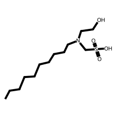 CCCCCCCCCCN(CCO)CS(=O)(=O)O